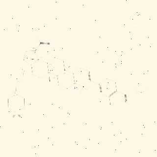 C=C(C)[C@@H]1CC[C@]2(NCCN3CCS(=O)(=O)CC3)CC[C@]3(C)[C@H](CC[C@@H]4[C@@]5(C)CC=C(C6=CC(C)=C(C(=O)OCC)CC6)C(C)(C)[C@@H]5CC[C@]43C)[C@@H]12